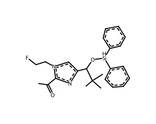 CC(=O)c1nc(C(O[SiH](c2ccccc2)c2ccccc2)C(C)(C)C)cn1CCF